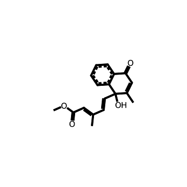 COC(=O)C=C(C)C=CC1(O)C(C)=CC(=O)c2ccccc21